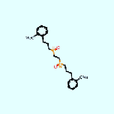 COc1ccccc1CCC[PH](=O)CC[PH](=O)CCCc1ccccc1OC